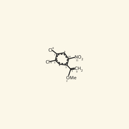 C=C(OC)c1cc(Cl)c(Cl)cc1[N+](=O)[O-]